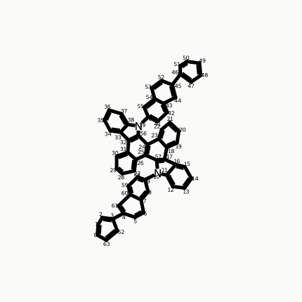 c1ccc(-c2ccc3cc(-n4c5ccccc5c5c6ccccc6c6c(c7ccccc7c7c8ccccc8n(-c8ccc9cc(-c%10ccccc%10)ccc9c8)c76)c54)ccc3c2)cc1